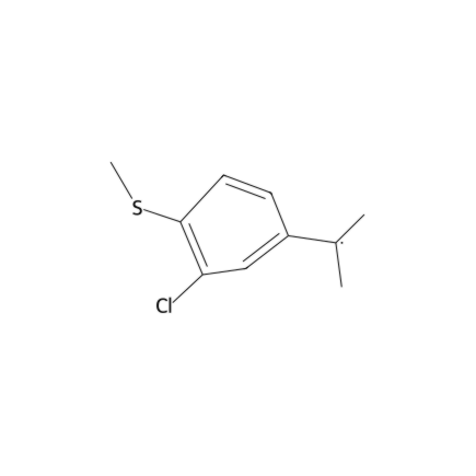 CSc1ccc([C](C)C)cc1Cl